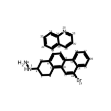 NNC1CCc2c(ccc3c2cc(Br)c2ccccc23)C1.c1ccc2ncccc2c1